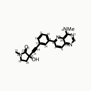 CNc1ncnc2ccc(-c3cccc(C#CC4(O)CCN(C)C4=O)c3)nc12